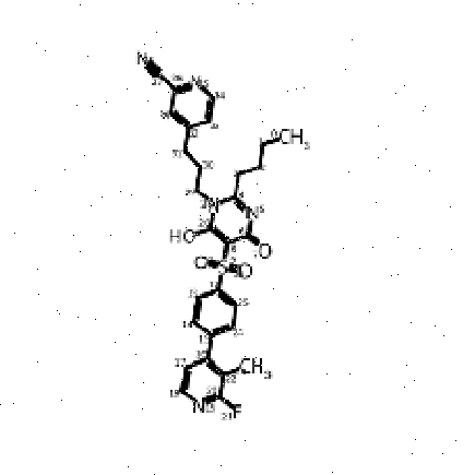 CCCCc1nc(=O)c(S(=O)(=O)c2ccc(-c3ccnc(F)c3C)cc2)c(O)n1CCCc1ccnc(C#N)c1